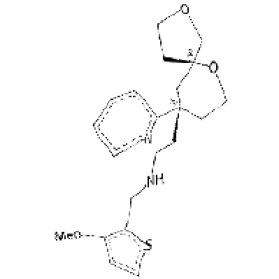 COc1ccsc1CNCC[C@]1(c2ccccn2)CCO[C@]2(CCOC2)C1